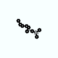 c1ccc(-c2ccc3ccc(-c4ccc5ccc6c(c5c4)c4ccccc4n6-c4ccc(-c5nc(-c6ccccc6)nc(-c6ccccc6)n5)cc4)cc3c2)cc1